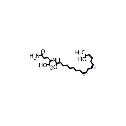 CC(O)/C=C\C/C=C\C/C=C\CCCCCCCC(=O)N[C@H](CCC(N)=O)C(=O)O